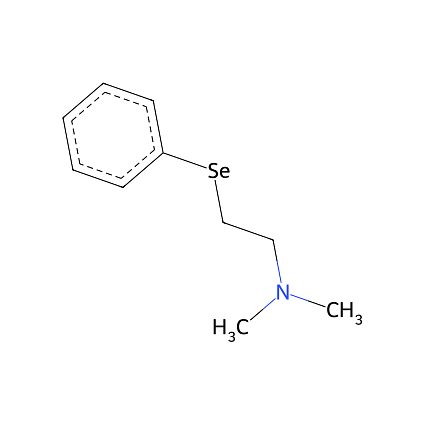 CN(C)CC[Se]c1ccccc1